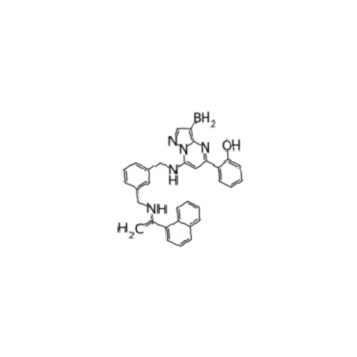 Bc1cnn2c(NCc3cccc(CNC(=C)c4cccc5ccccc45)c3)cc(-c3ccccc3O)nc12